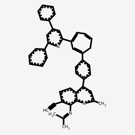 C#Cc1ccc2c(-c3ccc(C4=CC(c5cc(-c6ccccc6)cc(-c6ccccc6)n5)=CC=CC4)cc3)cc(C)nc2c1N=C(C)C